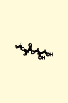 CC=C=C(C)C(=O)OCC(O)CO